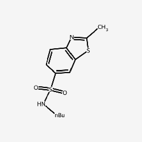 CCCCNS(=O)(=O)c1ccc2nc(C)sc2c1